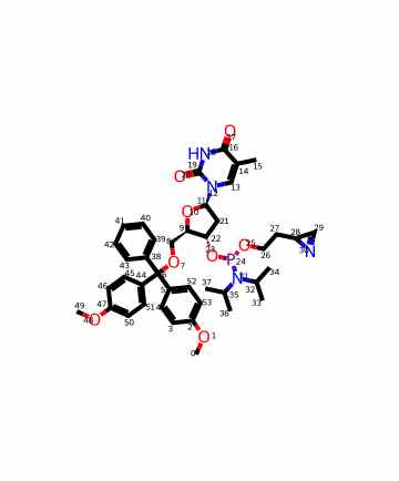 COc1ccc(C(OC[C@H]2O[C@@H](n3cc(C)c(=O)[nH]c3=O)C[C@@H]2OP(OCCC2C=N2)N(C(C)C)C(C)C)(c2ccccc2)c2ccc(OC)cc2)cc1